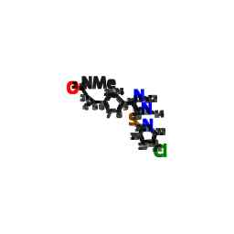 CNC(=O)C1CC1c1ccc(-c2ncn(C)c2Sc2ccc(Cl)cn2)cc1